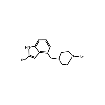 CC(=O)N1CCN(Cc2cccc3[nH]c(C(C)C)cc23)CC1